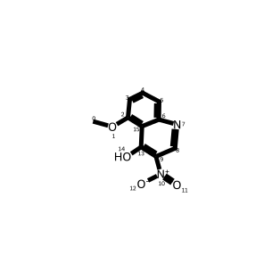 COc1cccc2ncc([N+](=O)[O-])c(O)c12